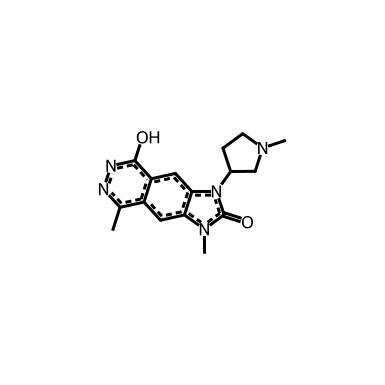 Cc1nnc(O)c2cc3c(cc12)n(C)c(=O)n3C1CCN(C)C1